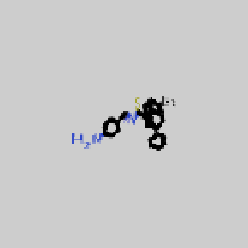 CCC1C2CC3(C(=S)/N=C/C4CCC(N)CC4)CC1CC(c1ccccc1)(C2)C3